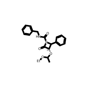 CCOC(C)O[C@@H]1C(=O)N(C(=O)NCc2ccccc2)C1c1ccccc1